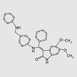 COc1cc2c(cc1OC)/C(=C(/Nc1ccc(CNc3ccccc3)cc1)c1ccccc1)C(=O)N2